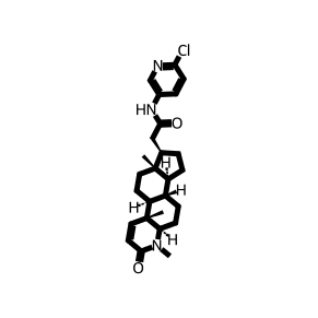 CN1C(=O)C=C[C@]2(C)[C@H]3CC[C@]4(C)[C@@H](CC(=O)Nc5ccc(Cl)nc5)CC[C@H]4[C@@H]3CC[C@@H]12